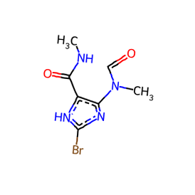 CNC(=O)c1[nH]c(Br)nc1N(C)C=O